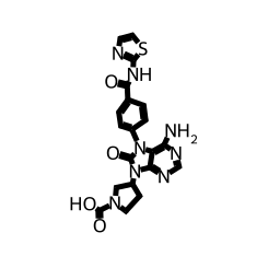 Nc1ncnc2c1n(-c1ccc(C(=O)Nc3nccs3)cc1)c(=O)n2C1CCN(C(=O)O)C1